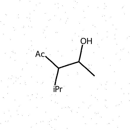 CC(=O)C(C(C)C)C(C)O